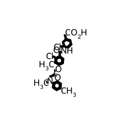 Cc1ccc2c(c1)O[C@H](COc1ccc(C(=O)NC3(Cl)C=CC=C(CC(=O)O)C3)c(Cl)c1C)CN2C